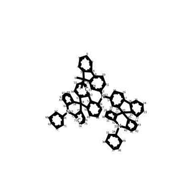 CC1(C)c2ccccc2-c2ccc(N(c3ccc4c(c3)C3(c5ccccc5-4)c4ccccc4N(c4ccccc4)c4ccccc43)c3cccc4c3-c3ccccc3C43c4ccccc4N(c4ccccc4)c4ccccc43)cc21